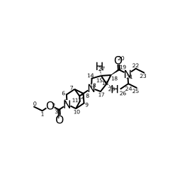 CCOC(=O)N1CC2CCC1CC2N1C[C@@H]2[C@H](C1)[C@@H]2C(=O)N(CC)C(C)C